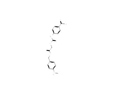 CN(C)c1ccc(CNC(=O)CNC(=O)Nc2ccc(C(=N)N)cc2)cc1